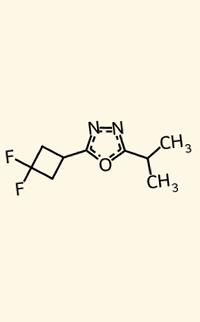 CC(C)c1nnc(C2CC(F)(F)C2)o1